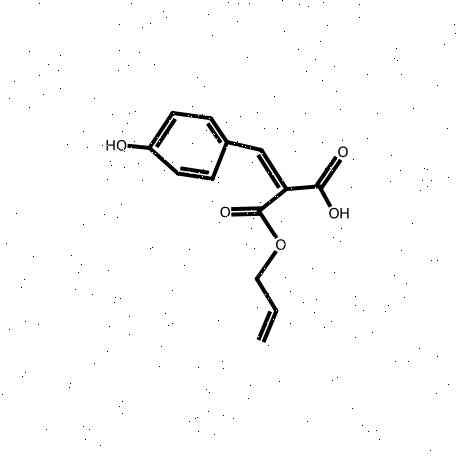 C=CCOC(=O)C(=Cc1ccc(O)cc1)C(=O)O